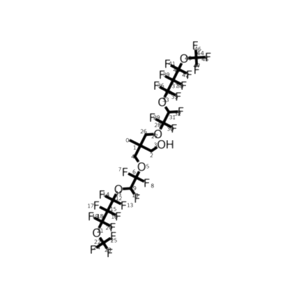 CC(CO)(COC(F)(F)C(F)OC(F)(F)C(F)(F)C(F)(F)OC(F)(F)F)COC(F)(F)C(F)OC(F)(F)C(F)(F)C(F)(F)OC(F)(F)F